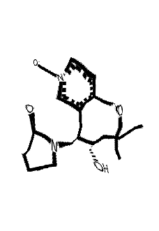 CC1(C)Oc2cc[n+]([O-])cc2[C@H](N2CCCC2=O)[C@H]1O